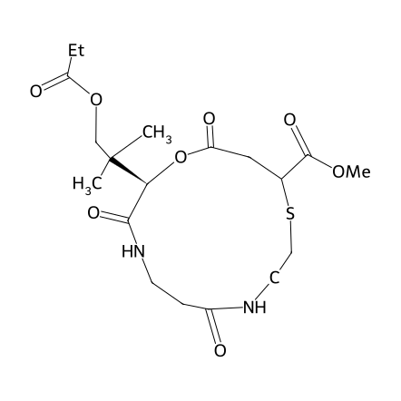 CCC(=O)OCC(C)(C)[C@H]1OC(=O)CC(C(=O)OC)SCCNC(=O)CCNC1=O